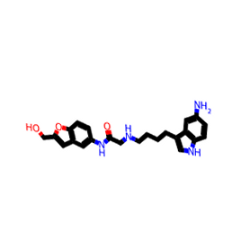 Nc1ccc2[nH]cc(CCCCNCC(=O)Nc3ccc4oc(CO)cc4c3)c2c1